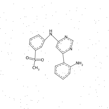 CS(=O)(=O)c1cccc(Nc2cc(-c3ccccc3N)ncn2)c1